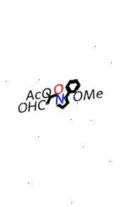 COc1ccccc1C1CCCN1C(=O)[C@@H](CC=O)OC(C)=O